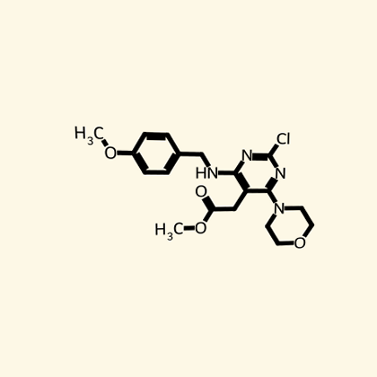 COC(=O)Cc1c(NCc2ccc(OC)cc2)nc(Cl)nc1N1CCOCC1